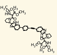 COC(=O)N[C@H](C(=O)N1CCC[C@H]1c1nc2ccc(C#Cc3ccc(-c4ccc5nc([C@@H]6CCCN6C(=O)[C@@H](NC(=O)OC)[C@@H](C)OC)[nH]c5c4)cc3)cc2[nH]1)[C@@H](C)OC